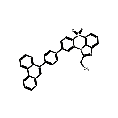 CCc1nc2cccc3c2n1-c1cc(-c2ccc(-c4cc5ccccc5c5ccccc45)cc2)ccc1S3(=O)=O